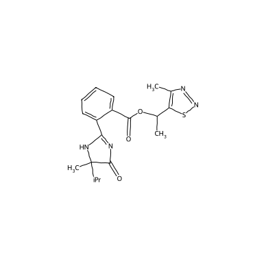 Cc1nnsc1C(C)OC(=O)c1ccccc1C1=NC(=O)C(C)(C(C)C)N1